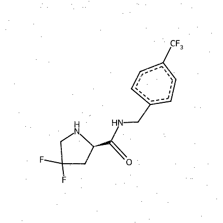 O=C(NCc1ccc(C(F)(F)F)cc1)[C@H]1CC(F)(F)CN1